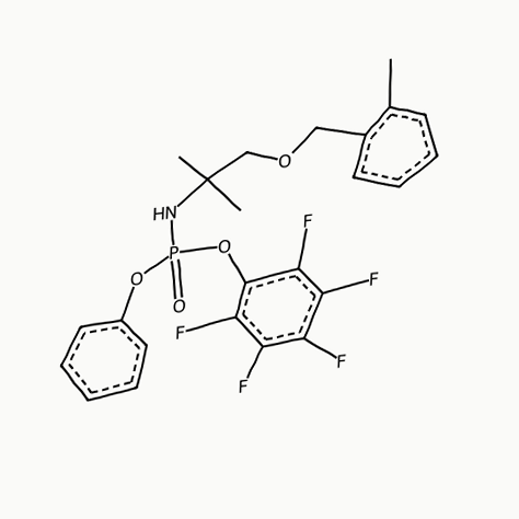 Cc1ccccc1COCC(C)(C)NP(=O)(Oc1ccccc1)Oc1c(F)c(F)c(F)c(F)c1F